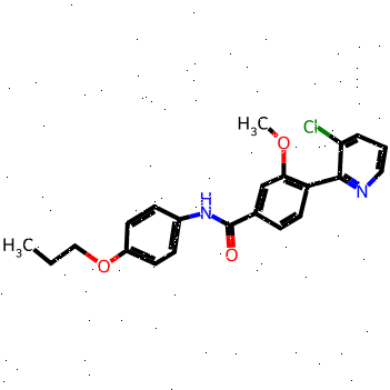 CCCOc1ccc(NC(=O)c2ccc(-c3ncccc3Cl)c(OC)c2)cc1